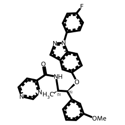 COc1cccc([C@H](Oc2ccc3c(cnn3-c3ccc(F)cc3)c2)[C@H](C)NC(=O)c2ccncn2)c1